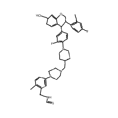 Cc1ccc(N2CCN(CC3CCN(c4ccc(C5C6=CCC(O)C=C6OCC5c5ccc(F)cc5C)cc4F)CC3)CC2)cc1CNC=O